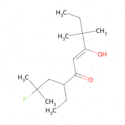 CCC(CC(C)(C)F)C(=O)/C=C(\O)C(C)(C)CC